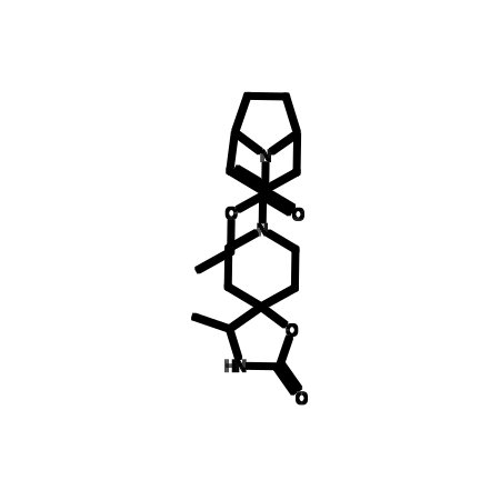 CCOC(=O)N1C2C=C(N3CCC4(CC3)OC(=O)NC4C)CC1CC2